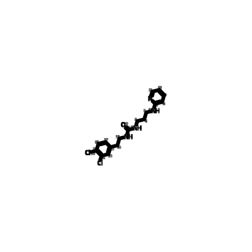 O=C(NCCCNc1ccccn1)NCCc1ccc(Cl)c(Cl)c1